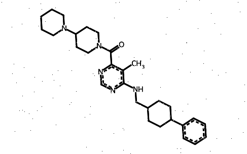 Cc1c(NCC2CCC(c3ccccc3)CC2)ncnc1C(=O)N1CCC(N2CCCCC2)CC1